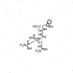 CC(C)N[C@@H](CCCNC(=N)N)C(=O)N[C@@H](CCCNC(=N)N)C(=O)NCC(=O)N[C@@H](Cc1c[nH]c2ccccc12)C(=O)O